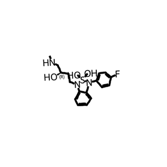 CNC[C@H](O)CCN1c2ccccc2N(c2ccc(F)cc2)S1(O)O